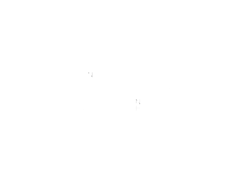 Cc1cnc2ccc(=O)[nH]c2c1